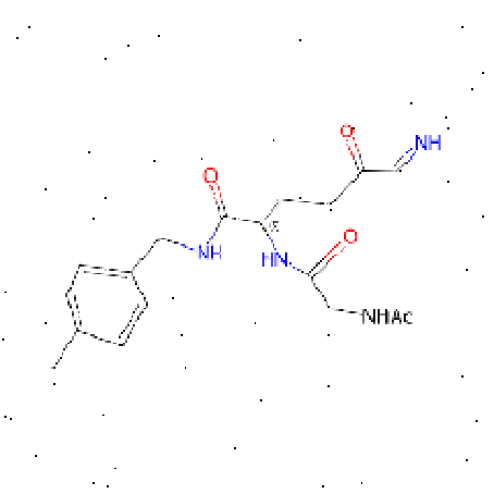 CC(=O)NCC(=O)N[C@@H](CCC(=O)C=N)C(=O)NCc1ccc(C)cc1